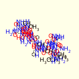 CC(C)C[C@H](NC(=O)[C@@H](N)C(C)C)C(=O)NCC(=O)N[C@@H](CC(N)=O)C(=O)N[C@@H](Cc1c[nH]cn1)C(=O)N[C@@H](CCC(N)=O)C(=O)NCC(=O)N[C@@H](C)C(=O)NCC(=O)N[C@@H](Cc1ccccc1)C(=O)N[C@@H](C)C(=O)N[C@@H](CC(N)=O)C(=O)N[C@@H](Cc1ccccc1)C(=O)N1CCC[C@H]1C(=O)N[C@@H](CO)C(=O)N[C@@H](CCC(N)=O)C(=O)N[C@@H](CCC(N)=O)C(=O)N[C@@H](C)C(=O)N[C@@H](C)C(=O)N[C@@H](CO)C(=O)O